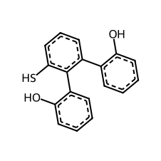 Oc1ccccc1-c1cccc(S)c1-c1ccccc1O